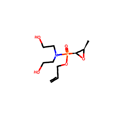 C=CCOP(=O)([C@@H]1O[C@@H]1C)N(CCO)CCO